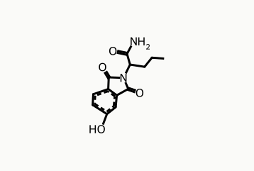 CCCC(C(N)=O)N1C(=O)c2ccc(O)cc2C1=O